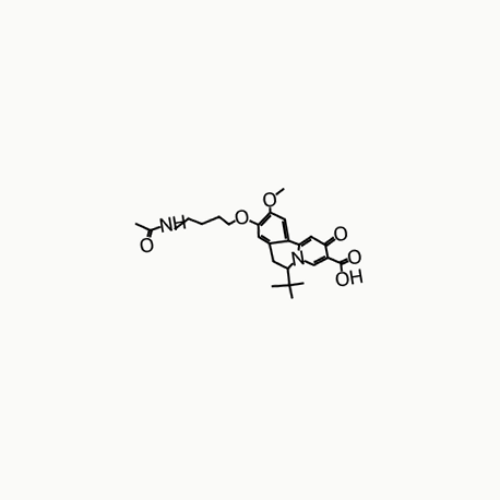 COc1cc2c(cc1OCCCCCNC(C)=O)CC(C(C)(C)C)n1cc(C(=O)O)c(=O)cc1-2